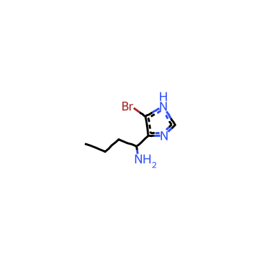 CCCC(N)c1nc[nH]c1Br